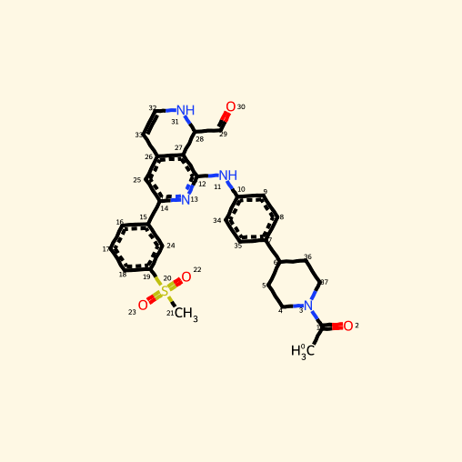 CC(=O)N1CCC(c2ccc(Nc3nc(-c4cccc(S(C)(=O)=O)c4)cc4c3C(C=O)NC=C4)cc2)CC1